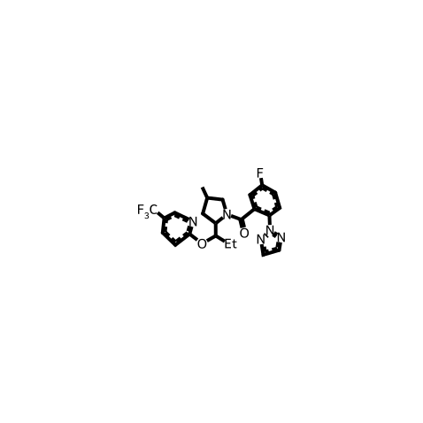 CCC(Oc1ccc(C(F)(F)F)cn1)C1CC(C)CN1C(=O)c1cc(F)ccc1-n1nccn1